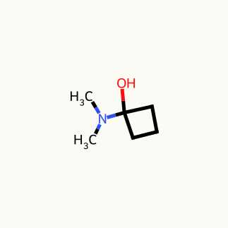 CN(C)C1(O)CCC1